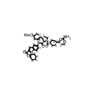 CO[C@H]1CC[C@H]([C@@H]2CCN(C(=O)[C@H]3CC[C@H]([C@@H](CF)OC(N)=O)CC3)[C@@H]2C(=O)Nc2ccc3c(c2)cc2n3C3(CCCCC3)OC2=O)CC1